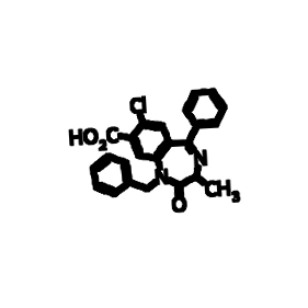 CC1N=C(c2ccccc2)c2cc(Cl)c(C(=O)O)cc2N(Cc2ccccc2)C1=O